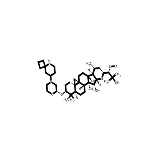 CCO[C@@H]([C@H]1C[C@@H](C)[C@H]2[C@H](O1)[C@H](O)[C@@]1(C)[C@@H]3CC[C@H]4C(C)(C)[C@@H](O[C@H]5CN(C6CCNC7(CCC7)C6)CCO5)CC[C@@]45C[C@@]35CC[C@]21C)C(C)(C)O